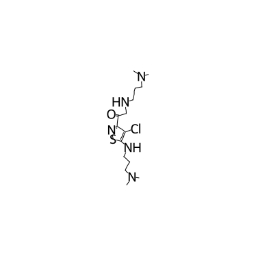 CN(C)CCCNCC(=O)c1nsc(NCCCN(C)C)c1Cl